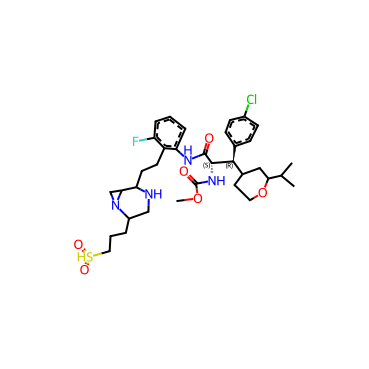 COC(=O)N[C@H](C(=O)Nc1cccc(F)c1CCC1NCC(CCC[SH](=O)=O)N2CC12)[C@@H](c1ccc(Cl)cc1)C1CCOC(C(C)C)C1